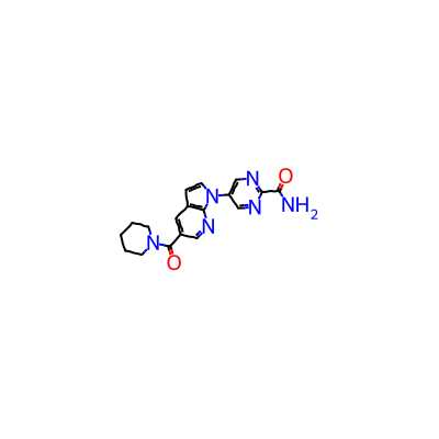 NC(=O)c1ncc(-n2ccc3cc(C(=O)N4CCCCC4)cnc32)cn1